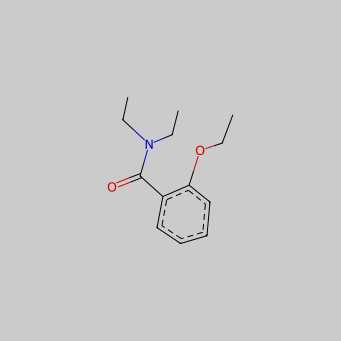 CCOc1ccccc1C(=O)N(CC)CC